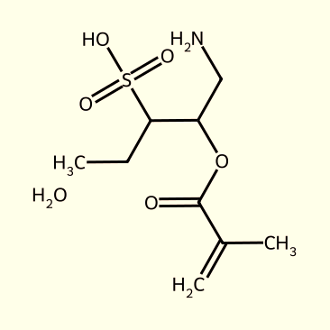 C=C(C)C(=O)OC(CN)C(CC)S(=O)(=O)O.O